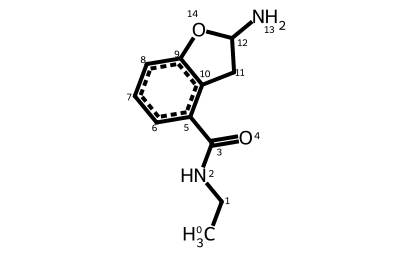 CCNC(=O)c1cccc2c1CC(N)O2